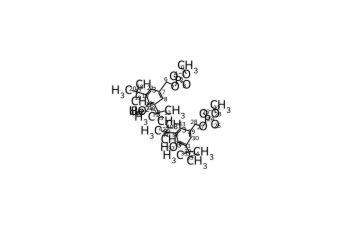 COP(=O)([O-])OCc1cc(C(C)(C)C)c(O)c(C(C)(C)C)c1.COP(=O)([O-])OCc1cc(C(C)(C)C)c(O)c(C(C)(C)C)c1.[Be+2]